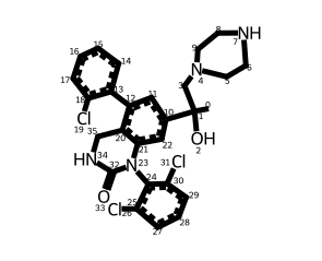 CC(O)(CN1CCNCC1)c1cc(-c2ccccc2Cl)c2c(c1)N(c1c(Cl)cccc1Cl)C(=O)NC2